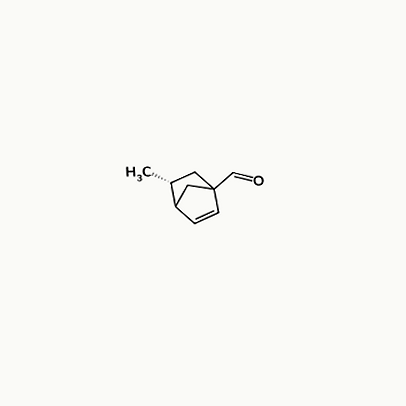 C[C@@H]1CC2(C=O)C=CC1C2